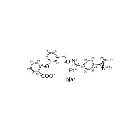 CC/C(=N\OCc1cccc(Oc2ccccc2C(=O)[O-])c1)c1ccc(-n2cccn2)cc1.[Na+]